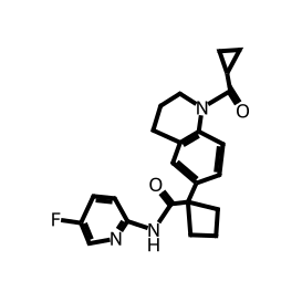 O=C(C1CC1)N1CCCc2cc(C3(C(=O)Nc4ccc(F)cn4)CCC3)ccc21